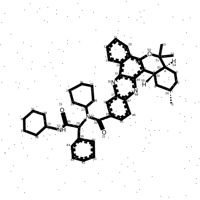 C[C@H]1CC[C@H]2[C@H](C1)c1c(c3ccccc3c3nc4cc(C(=O)N(C5CCCCC5)C(C(=O)NC5CCCCC5)c5ccccc5)ccc4nc13)OC2(C)C